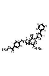 CC(C)(C)OC(=O)N[C@@H](COCc1ccc(C(=O)OC(C)(C)C)cc1)C(=O)Nc1nc(-c2ccccc2)cs1